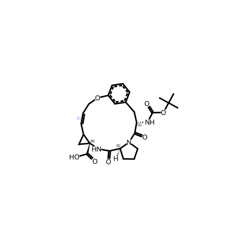 CC(C)(C)OC(=O)N[C@H]1Cc2cccc(c2)OC/C=C\C2C[C@@]2(C(=O)O)NC(=O)[C@@H]2CCCN2C1=O